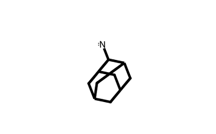 [N]C1C2CC3CC(C2)CC1C3